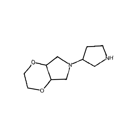 C1CC(N2CC3OCCOC3C2)CN1